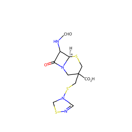 O=CNC1C(=O)N2CC(CSN3C=NSC3)(C(=O)O)CS[C@H]12